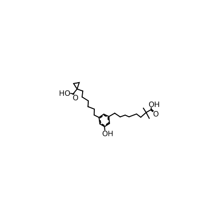 CC(C)(CCCCCCc1cc(O)cc(CCCCCCC2(C(=O)O)CC2)c1)C(=O)O